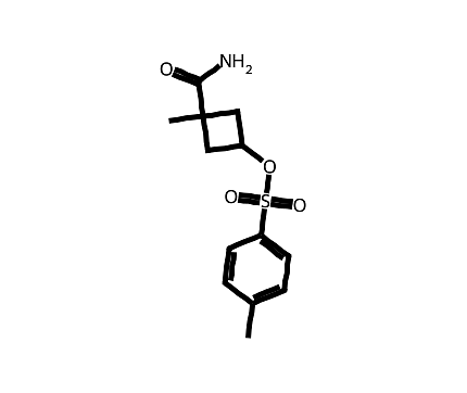 Cc1ccc(S(=O)(=O)OC2CC(C)(C(N)=O)C2)cc1